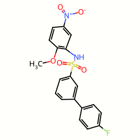 COc1ccc([N+](=O)[O-])cc1NS(=O)(=O)c1cccc(-c2ccc(F)cc2)c1